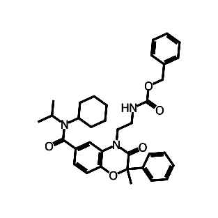 CC(C)N(C(=O)c1ccc2c(c1)N(CCNC(=O)OCc1ccccc1)C(=O)C(C)(c1ccccc1)O2)C1CCCCC1